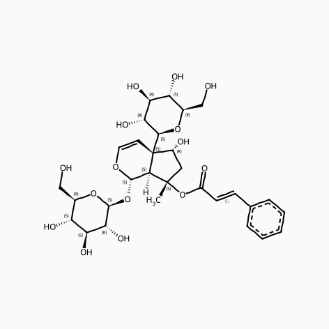 C[C@]1(OC(=O)/C=C/c2ccccc2)C[C@@H](O)[C@]2([C@@H]3O[C@H](CO)[C@@H](O)[C@H](O)[C@H]3O)C=CO[C@@H](O[C@@H]3O[C@H](CO)[C@@H](O)[C@H](O)[C@H]3O)[C@@H]21